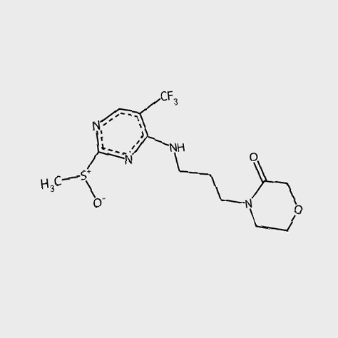 C[S+]([O-])c1ncc(C(F)(F)F)c(NCCCN2CCOCC2=O)n1